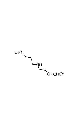 O=[C]OCCNCCCC=O